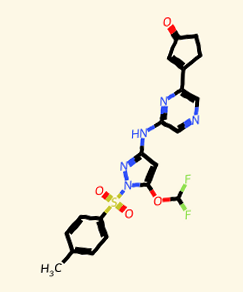 Cc1ccc(S(=O)(=O)n2nc(Nc3cncc(C4=CC(=O)CC4)n3)cc2OC(F)F)cc1